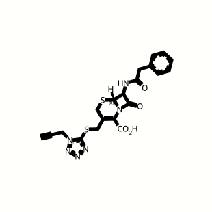 C#CCn1nnnc1SCC1=C(C(=O)O)N2C(=O)C(NC(=O)Cc3ccccc3)[C@H]2SC1